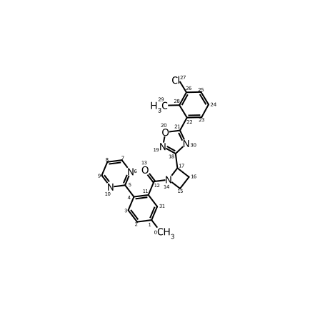 Cc1ccc(-c2ncccn2)c(C(=O)N2CCC2c2noc(-c3cccc(Cl)c3C)n2)c1